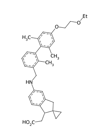 CCOCCOc1cc(C)c(-c2cccc(CNc3ccc4c(c3)CC3(CC3)C4CC(=O)O)c2C)c(C)c1